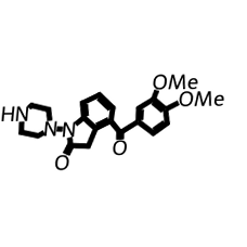 COc1ccc(C(=O)c2cccc3c2CC(=O)N3N2CCNCC2)cc1OC